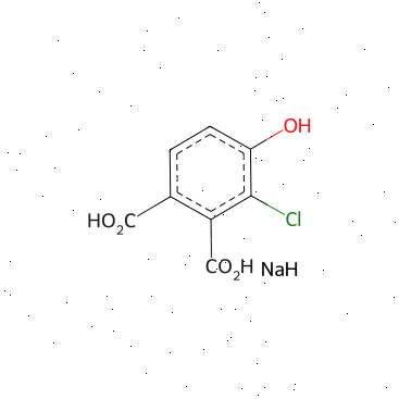 O=C(O)c1ccc(O)c(Cl)c1C(=O)O.[NaH]